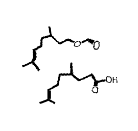 CC(C)=CCCC(C)CCC(=O)O.CC(C)=CCCC(C)CCOC=O